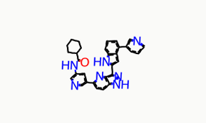 O=C(Nc1cncc(-c2ccc3[nH]nc(-c4cc5c(-c6cccnc6)cccc5[nH]4)c3n2)c1)C1CCCCC1